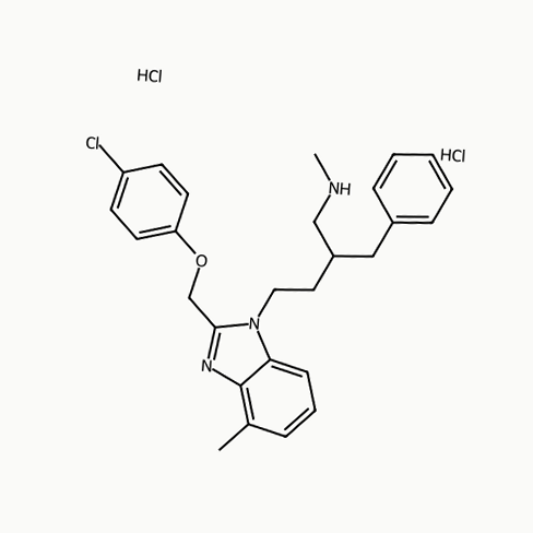 CNCC(CCn1c(COc2ccc(Cl)cc2)nc2c(C)cccc21)Cc1ccccc1.Cl.Cl